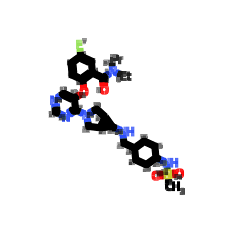 CCN(C(=O)c1cc(F)ccc1Oc1cncnc1N1CC2C(C1)C2NCC1CCC(NS(C)(=O)=O)CC1)C(C)C